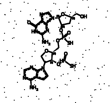 Nc1nc2c(ncn2[C@@H]2O[C@H](CO)C[C@H]2OP(=O)(S)OC[C@H]2OCC(n3ccc4c(N)ncnc43)[C@H]2O[PH](=O)S)c(=O)[nH]1